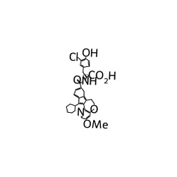 COc1cnc2c(c1)OCCC1=C3CC(C(=O)N[C@@H](Cc4ccc(O)c(Cl)c4)C(=O)O)=CC=C3C(C3CCCCC3)=C12